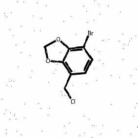 ClCc1ccc(Br)c2c1OCO2